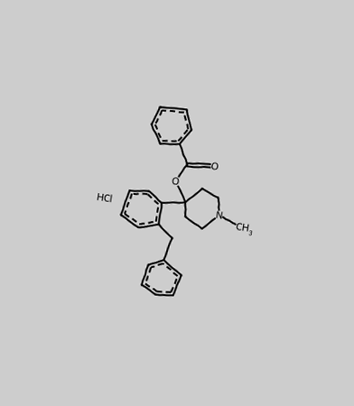 CN1CCC(OC(=O)c2ccccc2)(c2ccccc2Cc2ccccc2)CC1.Cl